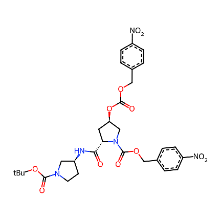 CC(C)(C)OC(=O)N1CC[C@H](NC(=O)[C@@H]2C[C@@H](OC(=O)OCc3ccc([N+](=O)[O-])cc3)CN2C(=O)OCc2ccc([N+](=O)[O-])cc2)C1